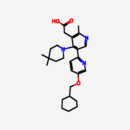 Cc1ncc(-c2ccc(OCC3CCCCC3)cn2)c(N2CCC(C)(C)CC2)c1CC(=O)O